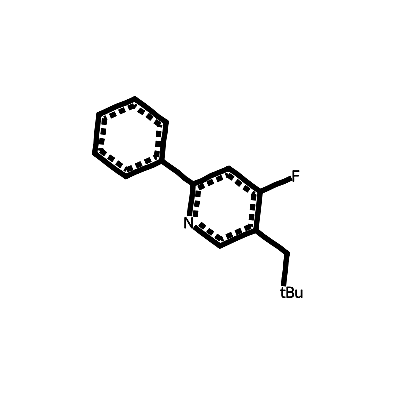 CC(C)(C)Cc1cnc(-c2ccccc2)cc1F